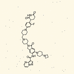 O=C1CCC(c2ccc(N3CCC(CN4CCC(N5Cc6cc(NC(=O)c7cnn8cccnc78)c(N7CCC(N8CCC8)CC7)cc6C5=O)CC4)CC3)cc2F)C(=O)N1